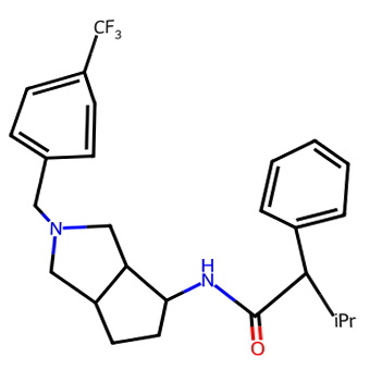 CC(C)C(C(=O)NC1CCC2CN(Cc3ccc(C(F)(F)F)cc3)CC21)c1ccccc1